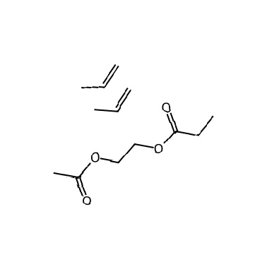 C=CC.C=CC.CCC(=O)OCCOC(C)=O